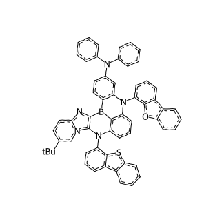 CC(C)(C)c1ccc2nc3c(n2c1)N(c1cccc2c1sc1ccccc12)c1cccc2c1B3c1ccc(N(c3ccccc3)c3ccccc3)cc1N2c1cccc2c1oc1ccccc12